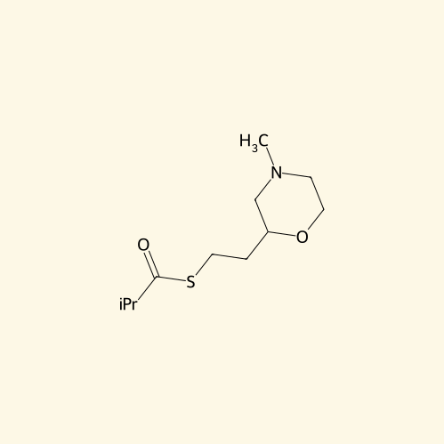 CC(C)C(=O)SCCC1CN(C)CCO1